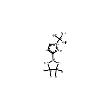 [2H]C([2H])([2H])n1ccc(B2OC(C)(C)C(C)(C)O2)n1